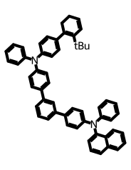 CC(C)(C)C1=C(c2ccc(N(c3ccccc3)c3ccc(-c4cccc(-c5ccc(N(c6ccccc6)c6cccc7ccccc67)cc5)c4)cc3)cc2)CCC=C1